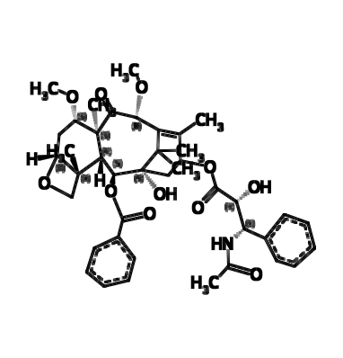 CO[C@H]1C(=O)[C@]2(C)[C@@H](OC)C[C@H]3OC[C@@]3(C)[C@H]2[C@H](OC(=O)c2ccccc2)[C@]2(O)CC(OC(=O)[C@H](O)[C@@H](NC(C)=O)c3ccccc3)C(C)=C1C2(C)C